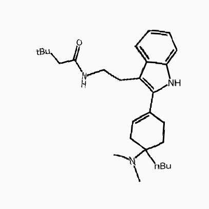 CCCCC1(N(C)C)CC=C(c2[nH]c3ccccc3c2CCNC(=O)CC(C)(C)C)CC1